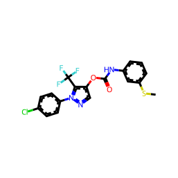 CSc1cccc(NC(=O)Oc2cnn(-c3ccc(Cl)cc3)c2C(F)(F)F)c1